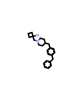 FC(F)(F)C1(CN2CCC(Cc3ccc(Cc4ccccc4)cc3)CC2)CCC1